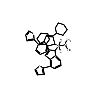 C[SiH](C)[Zr]([Cl])([Cl])([CH]1C(C2CCCCC2)=Cc2c(-c3cccs3)cccc21)[CH]1C(C2CCCCC2)=Cc2c(-c3cccs3)cccc21